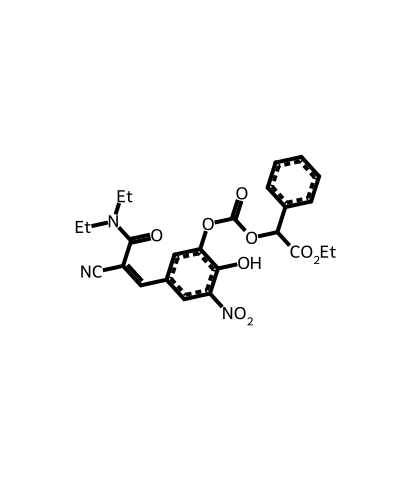 CCOC(=O)C(OC(=O)Oc1cc(C=C(C#N)C(=O)N(CC)CC)cc([N+](=O)[O-])c1O)c1ccccc1